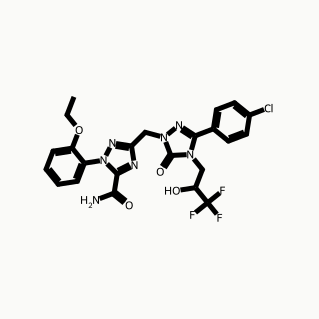 CCOc1ccccc1-n1nc(Cn2nc(-c3ccc(Cl)cc3)n(CC(O)C(F)(F)F)c2=O)nc1C(N)=O